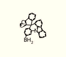 Bc1ccc2c(c1)-n1c3ccccc3c3cccc(c31)C21c2ccccc2-c2ccccc21